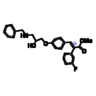 COC(=O)/C(=C/c1ccc(OCC(O)CNCc2ccccc2)cc1)c1cccc(F)c1